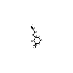 C#CCCC1CCCC(=O)C1